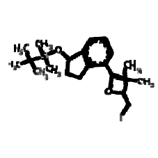 CC1(C)C(CI)OC1c1cccc2c1CCC2O[Si](C)(C)C(C)(C)C